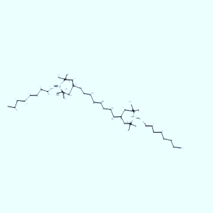 CCCCCCCCON1C(C)(C)CC(CCCCCCCCC2CC(C)(C)N(OCCCCCCCC)C(C)(C)C2)CC1(C)C